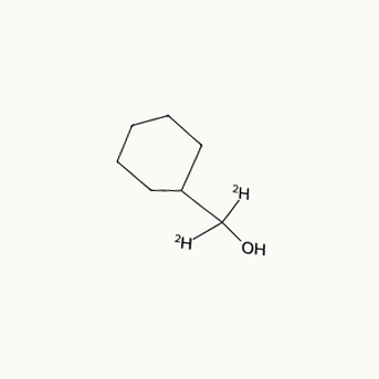 [2H]C([2H])(O)C1CCCCC1